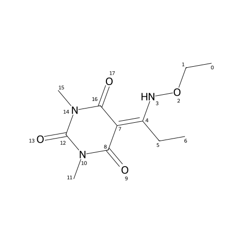 CCONC(CC)=C1C(=O)N(C)C(=O)N(C)C1=O